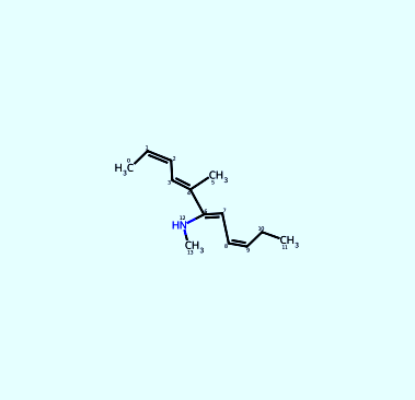 C\C=C/C=C(C)/C(=C/C=C\CC)NC